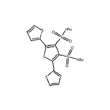 CCCCS(=O)(=O)c1c(-c2cccs2)sc(-c2cccs2)c1S(=O)(=O)CCCC